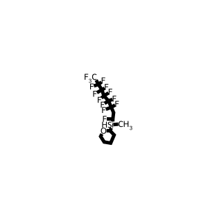 C[SiH](C(F)CC(F)(F)C(F)(F)C(F)(F)C(F)(F)C(F)(F)C(F)(F)F)C1CCCCO1